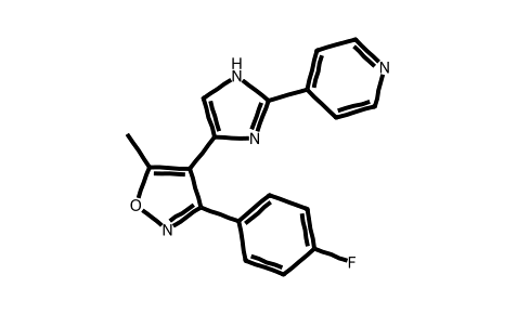 Cc1onc(-c2ccc(F)cc2)c1-c1c[nH]c(-c2ccncc2)n1